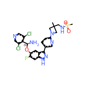 CC1(CNS(C)(=O)=O)CN(c2ccc(-c3n[nH]c4cc(F)c(O[C@H](N)c5c(Cl)cncc5Cl)cc34)cn2)C1